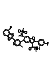 CNC(=O)c1c(-c2ccc(F)cc2)oc2cc(N(C)S(C)(=O)=O)c(-c3cc(-c4nc5c(F)cccc5o4)ncc3C)cc12